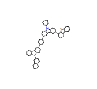 c1ccc(-n2c3ccc(-c4ccc(-c5ccc6c(c5)-c5ccccc5C6c5ccc6ccccc6c5)cc4)cc3c3cc(-c4cccc5c4sc4ccccc45)ccc32)cc1